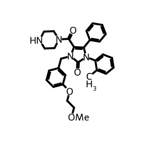 COCCOc1cccc(Cn2c(C(=O)N3CCNCC3)c(-c3ccccc3)n(-c3ccccc3C)c2=O)c1